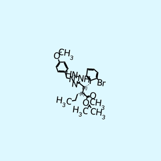 CCC[C@@H](C(=O)OC(C)(C)C)[C@@H](Cc1ccccc1Br)C1=NN(Cc2ccc(OC)cc2)NN1